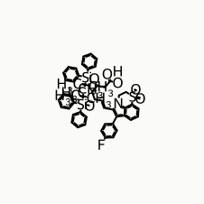 CC(C)(C)[Si](OC(/C=C/c1c(-c2ccc(F)cc2)c2cccc3c2n1CCS3(=O)=O)CC(CC(=O)O)O[Si](c1ccccc1)(c1ccccc1)C(C)(C)C)(c1ccccc1)c1ccccc1